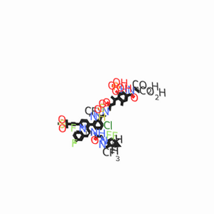 Cc1cc(C(=O)N[C@@H](CC(=O)O)C(=O)O)cc(OP(=O)(O)O)c1C(C)CC(=O)CN(Cc1nn(CC(F)(F)F)c2c(-c3ccc(C#CC(C)(C)S(C)(=O)=O)nc3[C@H](Cc3cc(F)cc(F)c3)NC(=O)Cn3nc(C(F)(F)F)c4c3C(F)(F)[C@@H]3C[C@H]43)ccc(Cl)c12)[SH](=O)=O